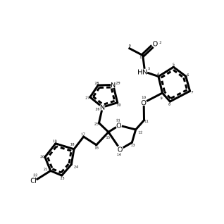 CC(=O)Nc1ccccc1OCC1COC(CCc2ccc(Cl)cc2)(Cn2ccnc2)O1